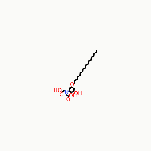 CCCCCCCCCCCCCCCCCCOc1cc(O)cc(N(CC(=O)O)CC(=O)O)c1